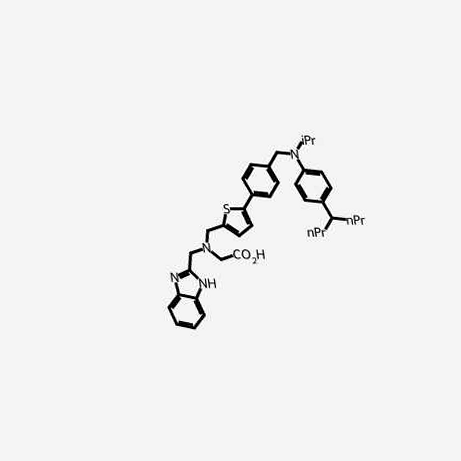 CCCC(CCC)c1ccc(N(Cc2ccc(-c3ccc(CN(CC(=O)O)Cc4nc5ccccc5[nH]4)s3)cc2)C(C)C)cc1